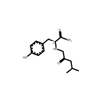 CC(C)CC(=O)CN[C@@H](Cc1ccc(O)cc1)C(N)=O